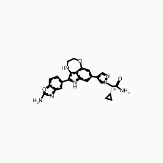 NC(=O)[C@H](C1CC1)n1cc(-c2cc3c4c(c(-c5ccc6oc(N)nc6c5)[nH]c4c2)NCCO3)cn1